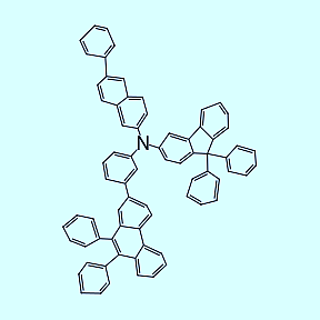 c1ccc(-c2ccc3cc(N(c4cccc(-c5ccc6c(c5)c(-c5ccccc5)c(-c5ccccc5)c5ccccc56)c4)c4ccc5c(c4)-c4ccccc4C5(c4ccccc4)c4ccccc4)ccc3c2)cc1